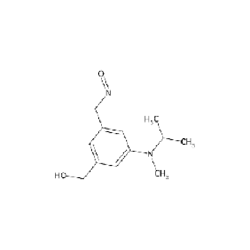 CC(C)N(C)c1cc(CO)cc(CN=O)c1